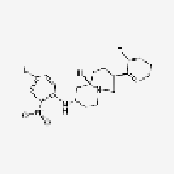 O=[N+]([O-])c1cc(I)ccc1N[C@H]1CCN2C[C@H](c3ccccc3F)CC[C@H]2C1